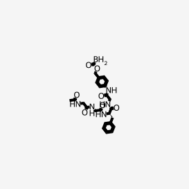 BC(=O)OCc1ccc(NC(=O)CNC(=O)[C@H](Cc2ccccc2)NC(=O)CNC(=O)CNC(C)=O)cc1